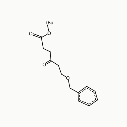 CC(C)(C)OC(=O)CCC(=O)CCOCc1ccccc1